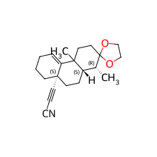 C[C@@H]1[C@@H]2CC[C@@]3(C#CC#N)CCCC=C3C2(C)CCC12OCCO2